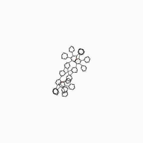 c1ccc(-c2ccc(-c3ccc4c(c3)C3(c5cc(-c6ccc(-c7ccccc7)c(-c7ccccc7)c6-c6ccccc6)ccc5-4)c4cc(-c5ccc(-c6ccccc6)c(-c6ccccc6)c5-c5ccccc5)ccc4-c4ccc(-c5ccc(-c6ccccc6)c(-c6ccccc6)c5-c5ccccc5)cc43)c(-c3ccccc3)c2-c2ccccc2)cc1